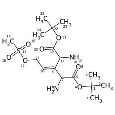 CC(C)(C)OC(=O)C(N)C(=CCOS(C)(=O)=O)C(N)C(=O)OC(C)(C)C